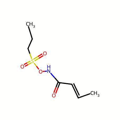 CC=CC(=O)NOS(=O)(=O)CCC